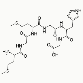 CSCCC(N)C(=O)NCC(=O)NC(CCSC)C(=O)NCC(=O)NC(Cc1c[nH]cn1)C(=O)NCC(=O)O